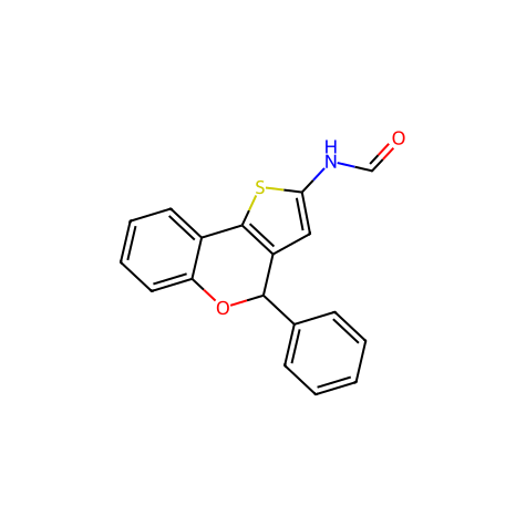 O=CNc1cc2c(s1)-c1ccccc1OC2c1ccccc1